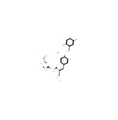 CCc1nnc(NC(=O)C(C#N)=Cc2ccc(OCc3cc(C)ccc3C)c(OC)c2)s1